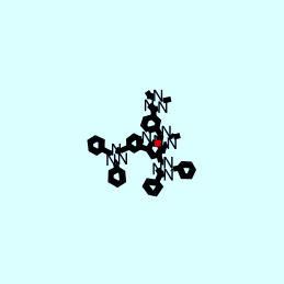 Cc1nc(C)nc(-c2ccc(-n3c4ccc(-c5nc(-c6ccccc6)nc(-c6ccccc6)n5)cc4c4cc(-c5nc(-c6ccccc6)nc(-c6ccccc6)n5)ccc43)c(-c3nc(C)nc(C)n3)c2)n1